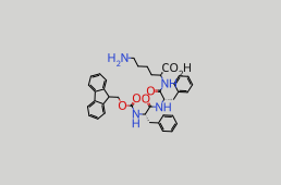 NCCCC[C@H](NC(=O)[C@H](Cc1ccccc1)NC(=O)[C@H](Cc1ccccc1)NC(=O)OCC1c2ccccc2-c2ccccc21)C(=O)O